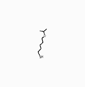 CC(C)OCCCCCS